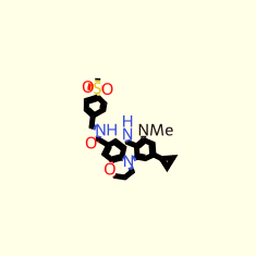 CNc1cc(C2CC2)cc(N2CCCOc3cc(C(=O)NCc4ccc(S(C)(=O)=O)cc4)ccc32)c1C=N